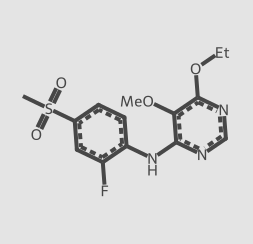 CCOc1ncnc(Nc2ccc(S(C)(=O)=O)cc2F)c1OC